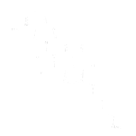 CCCCCCCCCCCCCCOc1ccc(COC(=O)N(Cc2cccc[n+]2C)C(=O)c2ccccc2)cc1Cl.[I-]